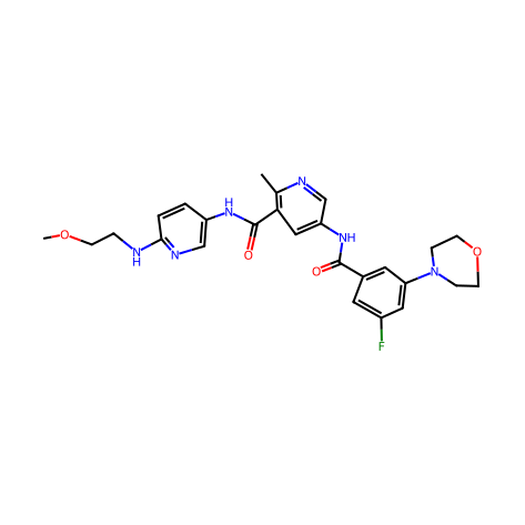 COCCNc1ccc(NC(=O)c2cc(NC(=O)c3cc(F)cc(N4CCOCC4)c3)cnc2C)cn1